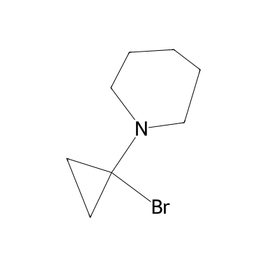 BrC1(N2CCCCC2)CC1